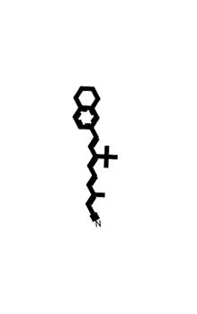 CC(/C=C/C=C(/C=C/c1ccc2c(c1)CCCC2)C(C)(C)C)=C\C#N